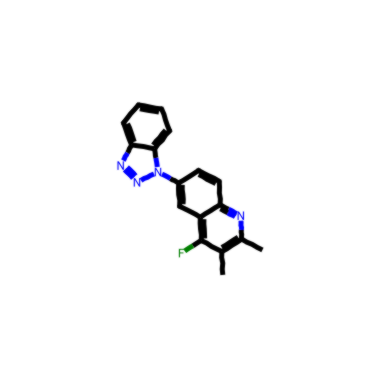 Cc1nc2ccc(-n3nnc4ccccc43)cc2c(F)c1C